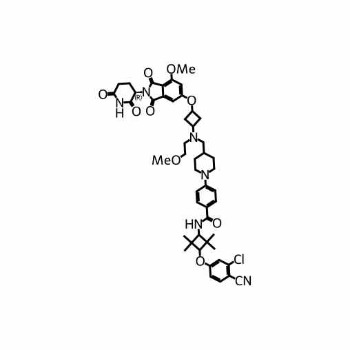 COCCN(CC1CCN(c2ccc(C(=O)NC3C(C)(C)C(Oc4ccc(C#N)c(Cl)c4)C3(C)C)cc2)CC1)C1CC(Oc2cc(OC)c3c(c2)C(=O)N([C@@H]2CCC(=O)NC2=O)C3=O)C1